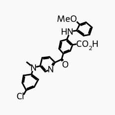 COc1ccccc1Nc1ccc(C(=O)c2ccc(N(C)c3ccc(Cl)cc3)cn2)cc1C(=O)O